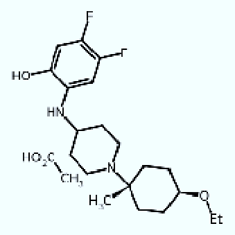 CC(=O)O.CCO[C@H]1CC[C@](C)(N2CCC(Nc3cc(F)c(F)cc3O)CC2)CC1